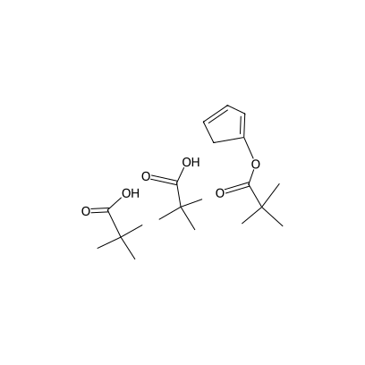 CC(C)(C)C(=O)O.CC(C)(C)C(=O)O.CC(C)(C)C(=O)OC1=CC=CC1